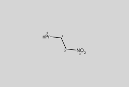 CCCC[CH][N+](=O)[O-]